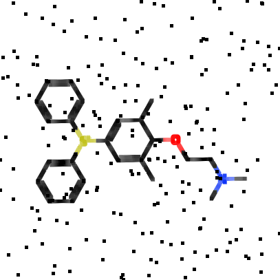 CC1=CC([S+](c2ccccc2)c2ccccc2)=CC(C)C1OCCN(C)C